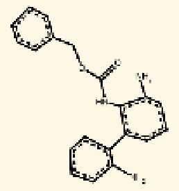 Nc1ccccc1-c1cccc(N)c1NC(=O)OCc1ccccc1